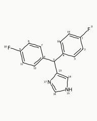 Fc1ccc(C(c2ccc(F)cc2)c2c[nH]cn2)cc1